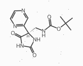 CC(C)(C)OC(=O)NC[C@]1(c2cnccn2)NC(=O)NC1=O